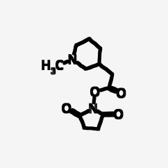 CN1CCCC(CC(=O)ON2C(=O)CCC2=O)C1